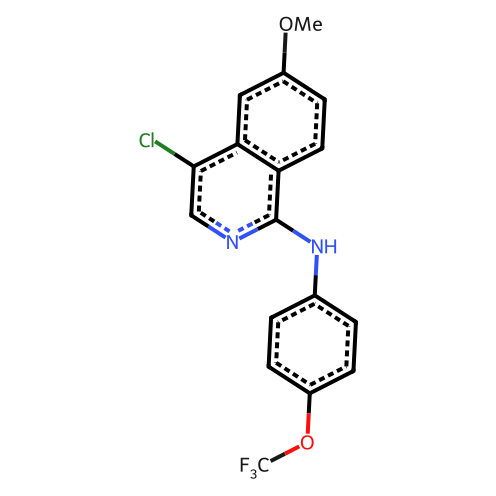 COc1ccc2c(Nc3ccc(OC(F)(F)F)cc3)ncc(Cl)c2c1